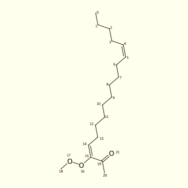 CCCC/C=C\CCCCCCCC/C=C(/OOC)C(C)=O